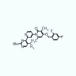 Cc1cnc(C(C)(C)C)nc1-c1cc(-n2c(C)cc(OCc3ccc(F)cc3F)c(C)c2=O)ccn1